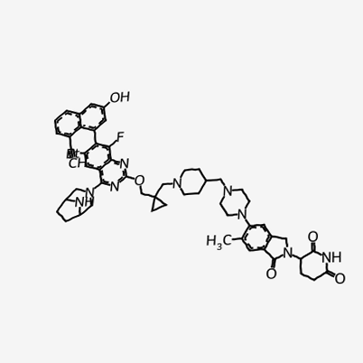 C#Cc1cccc2cc(O)cc(-c3c(CC)cc4c(N5CC6CCC(C5)N6)nc(OCC5(CN6CCC(CN7CCN(c8cc9c(cc8C)C(=O)N(C8CCC(=O)NC8=O)C9)CC7)CC6)CC5)nc4c3F)c12